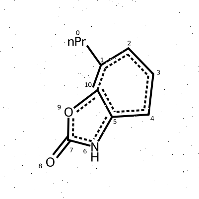 [CH2]CCc1cccc2[nH]c(=O)oc12